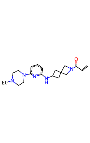 C=CC(=O)N1CC2(CC(Nc3cccc(N4CCN(CC)CC4)n3)C2)C1